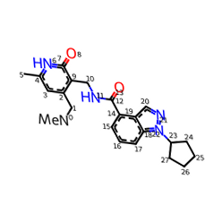 CNCc1cc(C)[nH]c(=O)c1CNC(=O)c1cccc2c1cnn2C1CCCC1